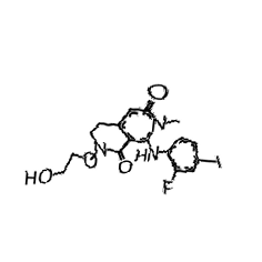 Cn1c(Nc2ccc(I)cc2F)c2c(cc1=O)CCN(OCCO)C2=O